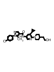 Cc1c(C(=O)Nc2cnc(N3CCC(CCO)CC3)c(C3CC3)c2)cnn1-c1ccc(Cl)cc1